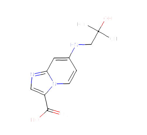 CC(C)(O)CNc1ccn2c(C(=O)O)cnc2c1